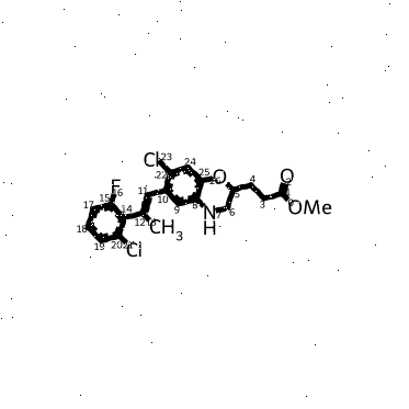 COC(=O)CCC1CNc2cc(C=C(C)c3c(F)cccc3Cl)c(Cl)cc2O1